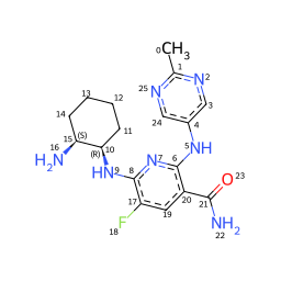 Cc1ncc(Nc2nc(N[C@@H]3CCCC[C@@H]3N)c(F)cc2C(N)=O)cn1